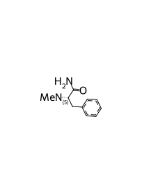 CN[C@@H](Cc1ccccc1)C(N)=O